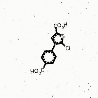 O=C(O)c1ccc(-c2cc(C(=O)O)sc2Cl)cc1